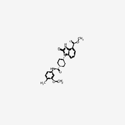 COC(=O)c1cccc2c1[nH]c(=O)n2[C@H]1CC[C@@H](C(=O)Nc2ccc(C)c(OC)c2)CC1